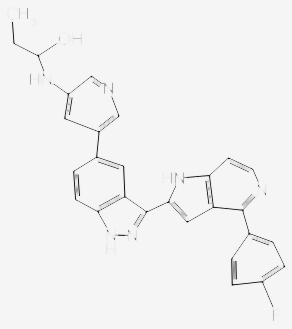 CCC(O)Nc1cncc(-c2ccc3[nH]nc(-c4cc5c(-c6ccc(F)cc6)nccc5[nH]4)c3c2)c1